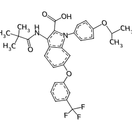 CC(C)Oc1ccc(-n2c(C(=O)O)c(NC(=O)C(C)(C)C)c3ccc(Oc4cccc(C(F)(F)F)c4)cc32)cc1